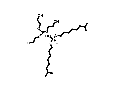 CC(C)CCCCCCOP(=O)(O)OCCCCCCC(C)C.OCCON(OCCO)OCCO